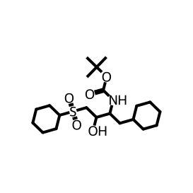 CC(C)(C)OC(=O)NC(CC1CCCCC1)C(O)CS(=O)(=O)C1CCCCC1